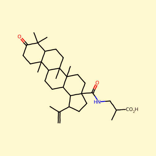 C=C(C)C1CCC2(C(=O)NCC(C)C(=O)O)CCC3(C)C(CCC4C5(C)CCC(=O)C(C)(C)C5CCC43C)C12